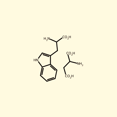 NC(CC(=O)O)C(=O)O.NC(Cc1c[nH]c2ccccc12)C(=O)O